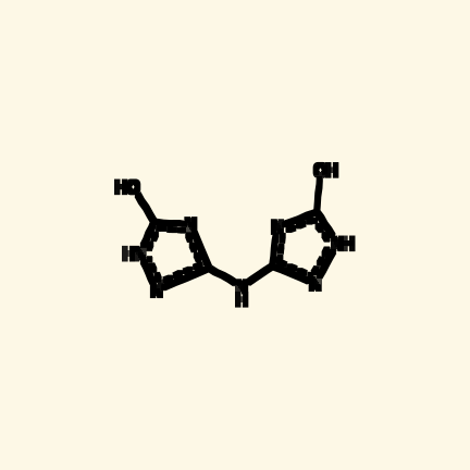 Oc1nc(Nc2n[nH]c(O)n2)n[nH]1